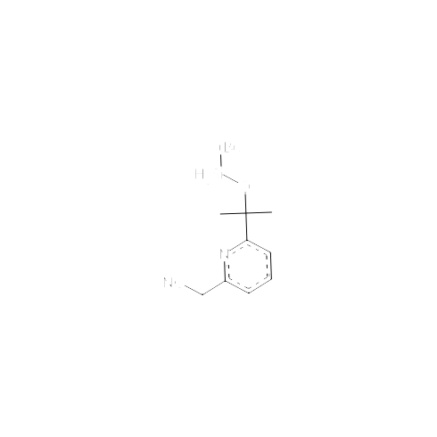 CC(C)(C)[SiH2]OC(C)(C)c1cccc(CC#N)n1